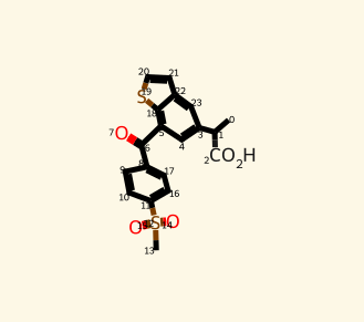 CC(C(=O)O)c1cc(C(=O)c2ccc(S(C)(=O)=O)cc2)c2sccc2c1